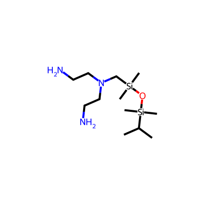 CC(C)[Si](C)(C)O[Si](C)(C)CN(CCN)CCN